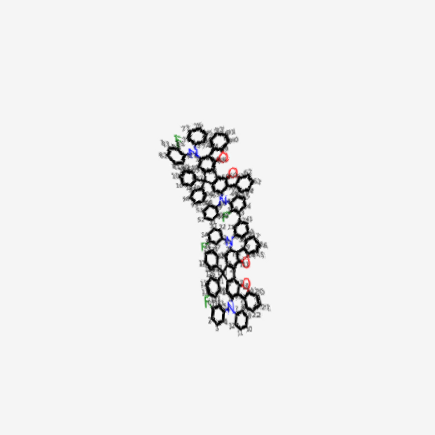 Fc1cccc(N(c2ccccc2)c2cc3c(c4oc5ccccc5c24)-c2c(cc(N(c4cccc(F)c4)c4cccc(-c5cccc(N(c6ccccc6)c6cc7c(c8oc9ccccc9c68)-c6c(cc(N(c8ccccc8)c8ccccc8F)c8c6oc6ccccc68)C7(c6ccccc6)c6ccccc6)c5F)c4)c4c2oc2ccccc24)C3(c2ccccc2)c2ccccc2)c1